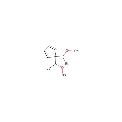 CCC(OC(C)C)C1(C(CC)OC(C)C)C=CC=C1